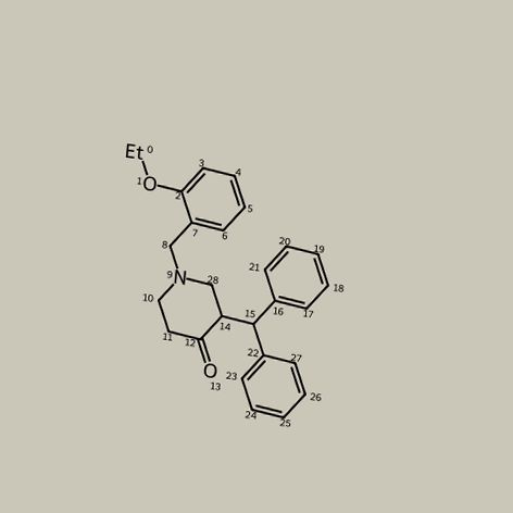 CCOc1ccccc1CN1CCC(=O)C(C(c2ccccc2)c2ccccc2)C1